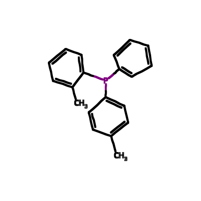 Cc1ccc(P(c2ccccc2)c2ccccc2C)cc1